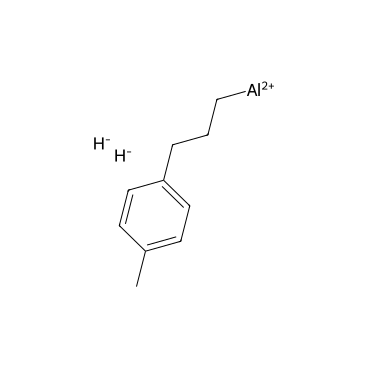 Cc1ccc(CC[CH2][Al+2])cc1.[H-].[H-]